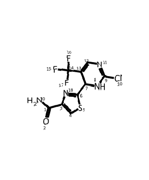 NC(=O)c1csc(C2NC(Cl)=NC=C2C(F)(F)F)n1